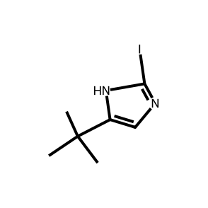 CC(C)(C)c1cnc(I)[nH]1